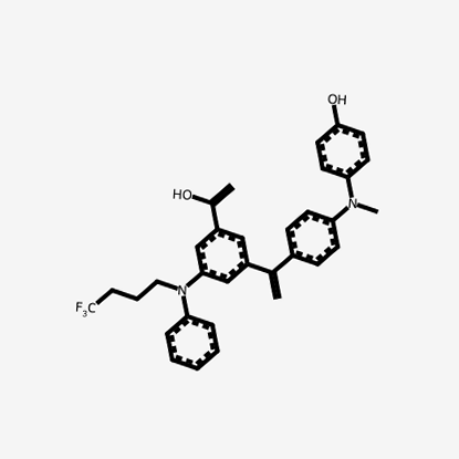 C=C(O)c1cc(C(=C)c2ccc(N(C)c3ccc(O)cc3)cc2)cc(N(CCCC(F)(F)F)c2ccccc2)c1